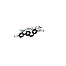 COc1ccc(/C=C\c2cc(OC)c(OC)c(OC)c2)cc1-c1ccc(S)cc1Br